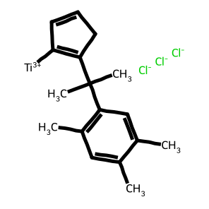 Cc1cc(C)c(C(C)(C)C2=[C]([Ti+3])C=CC2)cc1C.[Cl-].[Cl-].[Cl-]